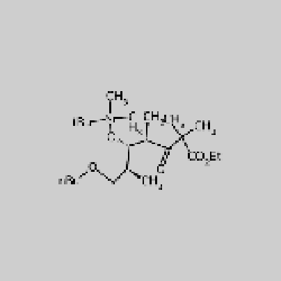 CCCCOC[C@H](C)[C@H](O[Si](C)(C)C(C)(C)C)[C@@H](C)C(=O)C(C)(C)C(=O)OCC